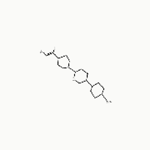 CCCC1CCC(C2CCC(C3CCC(/C(F)=C/C(F)(F)F)CC3)OC2)CC1